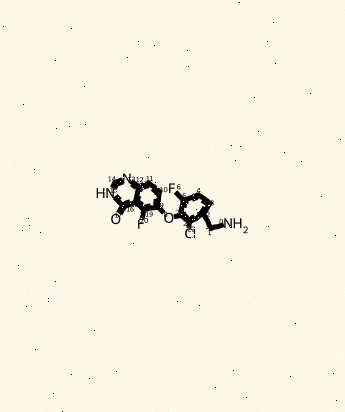 N[CH]c1ccc(F)c(Oc2ccc3nc[nH]c(=O)c3c2F)c1Cl